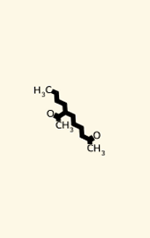 CCCCC(CCCCC(C)=O)C(C)=O